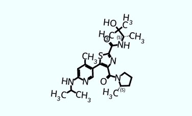 Cc1cc(NC(C)C)ncc1-c1sc(C(=O)N[C@@H](C)C(C)(C)O)nc1C(=O)N1CCC[C@@H]1C